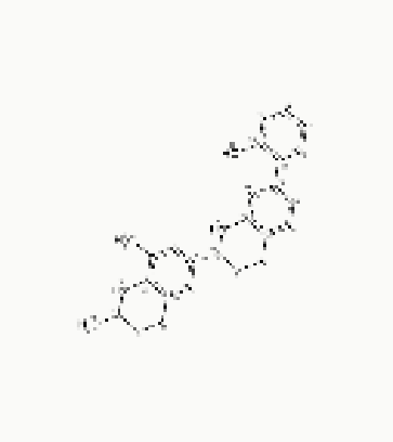 Cc1cc([C@H]2CCc3ccc(-c4ccccc4O)nc3N2)cc2c1NC(C)CC2